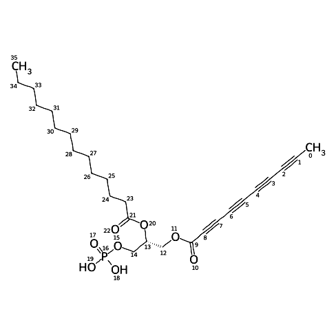 CC#CC#CC#CC#CC(=O)OC[C@H](COP(=O)(O)O)OC(=O)CCCCCCCCCCCCC